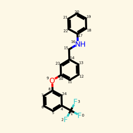 FC(F)(F)c1cccc(Oc2cccc(CNc3ccccc3)c2)c1